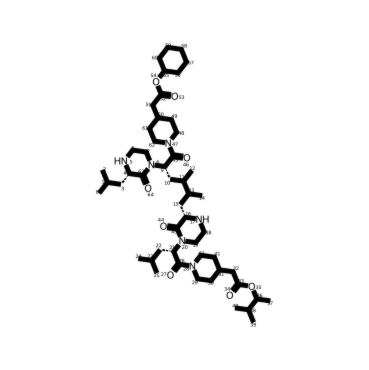 CC(C)C[C@@H]1NCCN([C@@H](CC(C)C(C)C[C@@H]2NCCN([C@@H](CC(C)C)C(=O)N3CCC(CC(=O)OC(C)C(C)C)CC3)C2=O)C(=O)N2CCC(CC(=O)OC3CCCCC3)CC2)C1=O